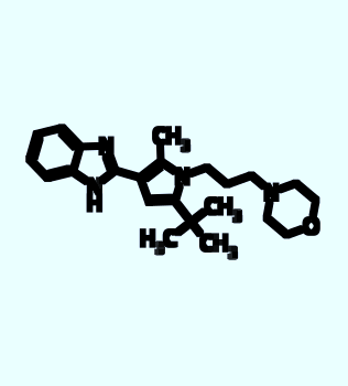 Cc1c(-c2nc3ccccc3[nH]2)cc(C(C)(C)C)n1CCCN1CCOCC1